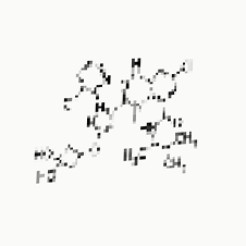 Cc1cc(Cl)cc(C(=O)NC(C)C(C)C)c1NC(=O)c1cc(OC2CS(O)(O)C2)nn1-c1ncccc1Cl